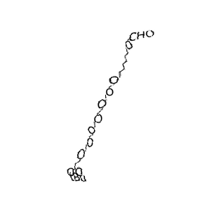 CC(C)(C)OC(=O)CCOCCOCCOCCOCCOCCOCCOCCCCCCCCOCC=O